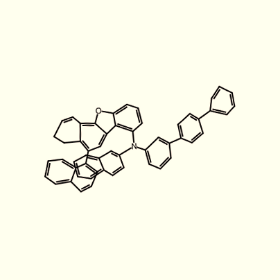 C1=Cc2c(c(-c3cccc4ccccc34)cc3c2oc2cccc(N(c4cccc(-c5ccc(-c6ccccc6)cc5)c4)c4ccc5ccccc5c4)c23)CC1